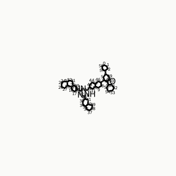 c1ccc(-c2cc(-c3ccc4cc(C5NC(c6ccc7c(ccc8ccccc87)c6)=NC(c6ccc7ccccc7c6)N5)ccc4c3)c3c(c2)oc2ccccc23)cc1